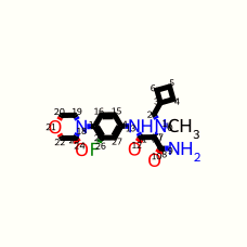 CN(CC1CCC1)[C@@H](C(N)=O)C(=O)Nc1ccc(N2CCOCC2=O)c(F)c1